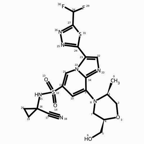 C[C@H]1CO[C@@H](CO)CN1c1cc(S(=O)(=O)NC2(C#N)CC2)cn2c(-c3nnc(C(F)F)s3)cnc12